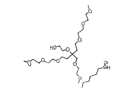 CCCCCC[SiH]=O.COCCOCCOCCC(CCOCCOCCOC)(COCCOC)OCCO